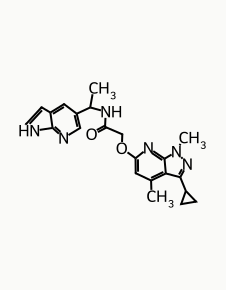 Cc1cc(OCC(=O)NC(C)c2cnc3[nH]ccc3c2)nc2c1c(C1CC1)nn2C